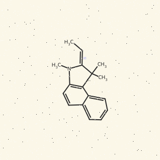 C/C=C1\N(C)c2ccc3ccccc3c2C1(C)C